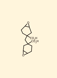 O=C(O)C1(CC2(C(=O)O)CCC3OC3C2)CCC2OC2C1